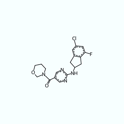 O=C(c1cnc(NC2Cc3cc(Cl)cc(F)c3C2)nc1)N1CCCOC1